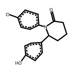 O=C1CCCC(c2ccc(O)cc2)N1c1ccc(Cl)cc1